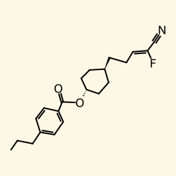 CCCc1ccc(C(=O)O[C@H]2CC[C@H](CCC=C(F)C#N)CC2)cc1